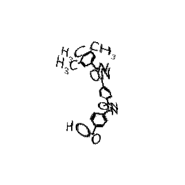 Cc1cc(-c2nnc(-c3ccc(-c4nnc(-c5ccc(C(=O)O)cc5)o4)cc3)o2)cc(C)c1C